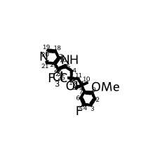 COc1ccc(F)cc1C(C)(C)CC(O)(Cc1[nH]c2ccncc2c1Cl)C(F)(F)F